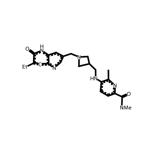 CCc1cc2ncc(CN3CC(CNc4ccc(C(=O)NC)nc4C)C3)cc2[nH]c1=O